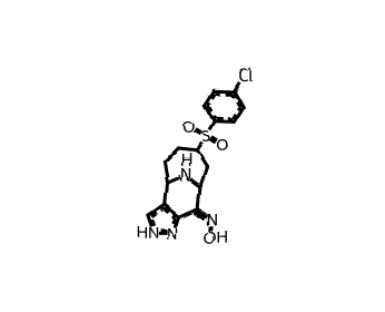 O=S(=O)(c1ccc(Cl)cc1)C1CCC2NC(C1)/C(=N/O)c1n[nH]cc12